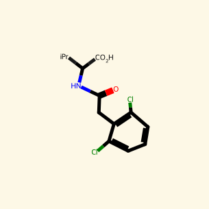 CC(C)C(NC(=O)Cc1c(Cl)cccc1Cl)C(=O)O